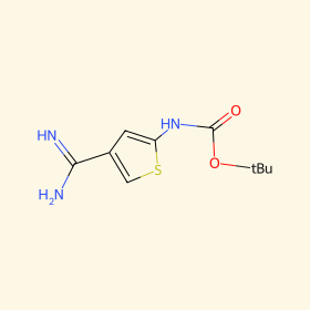 CC(C)(C)OC(=O)Nc1cc(C(=N)N)cs1